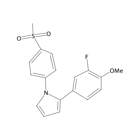 COc1ccc(-c2cccn2-c2ccc(S(C)(=O)=O)cc2)cc1F